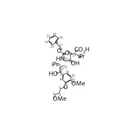 COCCCOc1cc(C(O)[C@@H](C[C@H](NC(=O)OCc2ccccc2)[C@@H](O)C[C@H](C(=O)O)C(C)C)C(C)C)ccc1OC